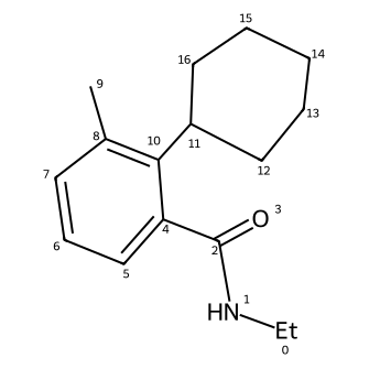 CCNC(=O)c1cccc(C)c1C1CCCCC1